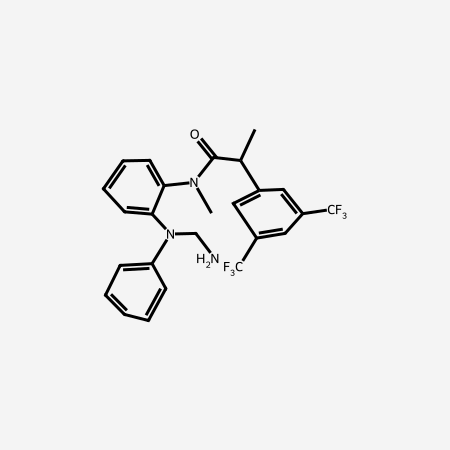 CC(C(=O)N(C)c1ccccc1N(CN)c1ccccc1)c1cc(C(F)(F)F)cc(C(F)(F)F)c1